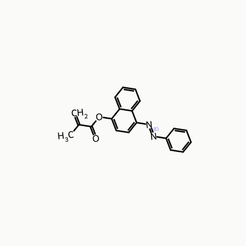 C=C(C)C(=O)Oc1ccc(/N=N/c2ccccc2)c2ccccc12